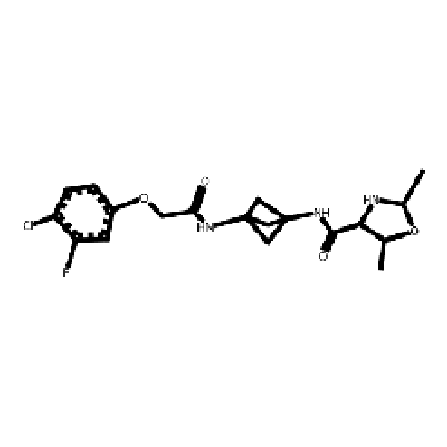 CC1NC(C(=O)NC23CC(NC(=O)COc4ccc(Cl)c(F)c4)(C2)C3)C(C)O1